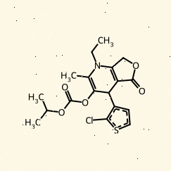 CCN1C(C)=C(OC(=O)OC(C)C)C(c2ccsc2Cl)C2=C1COC2=O